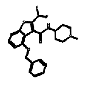 CN1CCC(NC(=O)c2c(C(F)F)sc3cccc(OCc4ccccc4)c23)CC1